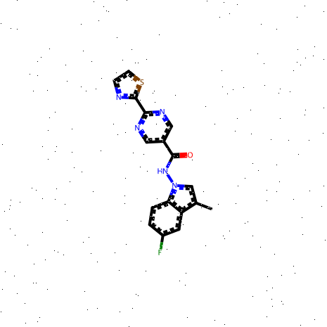 Cc1cn(NC(=O)c2cnc(-c3nccs3)nc2)c2ccc(F)cc12